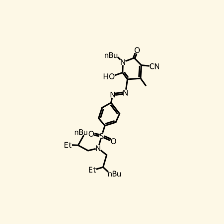 CCCCC(CC)CN(CC(CC)CCCC)S(=O)(=O)c1ccc(/N=N/c2c(C)c(C#N)c(=O)n(CCCC)c2O)cc1